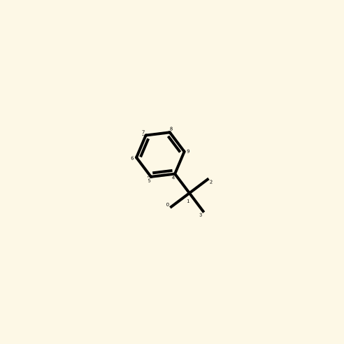 CC(C)(C)c1[c]c[c]cc1